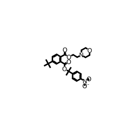 CC(C)(C)c1ccc(C(=O)OCCN2CCOCC2)c(C(=O)OC(C)(C)c2ccc([N+](=O)[O-])cc2)c1